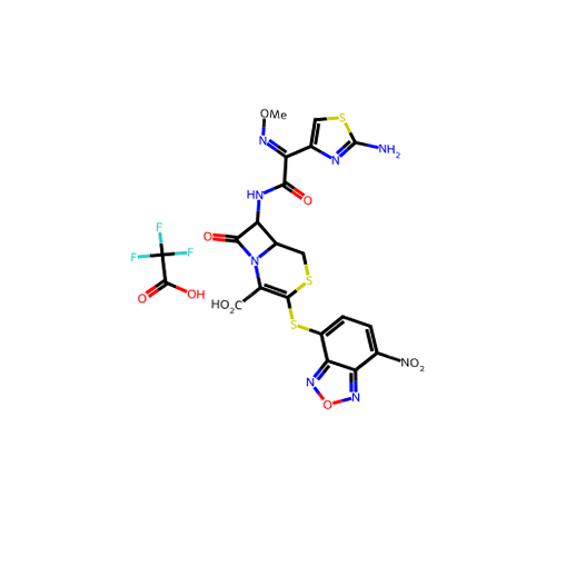 CON=C(C(=O)NC1C(=O)N2C(C(=O)O)=C(Sc3ccc([N+](=O)[O-])c4nonc34)SCC12)c1csc(N)n1.O=C(O)C(F)(F)F